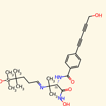 CC(C)(N=CCCC(C)(C)[Si](C)(C)O)[C@H](NC(=O)c1ccc(C#CC#CCO)cc1)C(=O)NO